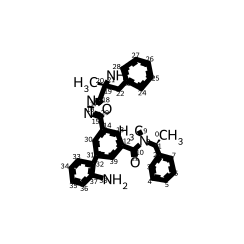 C[C@H](c1ccccc1)N(C)C(=O)c1cc(-c2nnc([C@](C)(N)Cc3ccccc3)o2)cc(-c2ccccc2N)c1